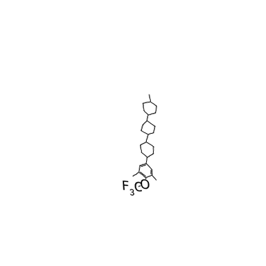 Cc1cc(C2CCC(C3CCC(C4CCC(C)CC4)CC3)CC2)cc(C)c1OC(F)(F)F